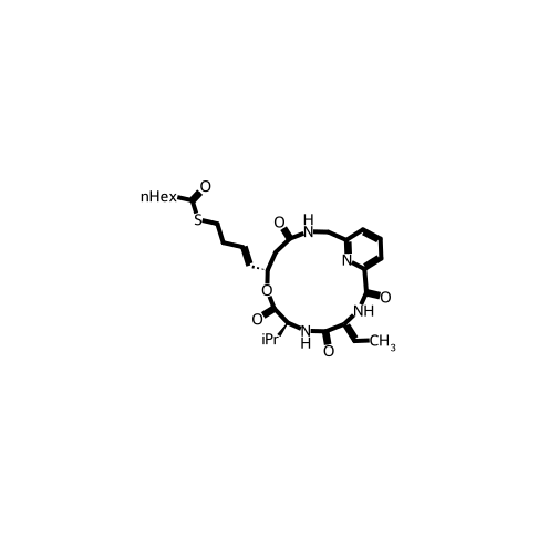 C/C=C1\NC(=O)c2cccc(n2)CNC(=O)C[C@@H](/C=C/CCSC(=O)CCCCCC)OC(=O)[C@H](C(C)C)NC1=O